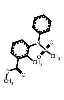 COC(=O)c1cccc(N(c2ccccc2)S(C)(=O)=O)c1C